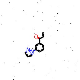 C=CC(=O)c1cccc(-n2cccn2)c1